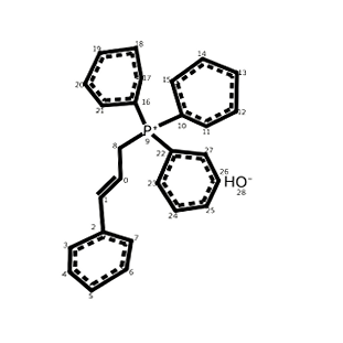 C(=Cc1ccccc1)C[P+](c1ccccc1)(c1ccccc1)c1ccccc1.[OH-]